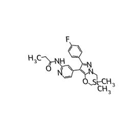 CCC(=O)Nc1cc(-c2c(-c3ccc(F)cc3)nn3c2OC[Si](C)(C)C3)ccn1